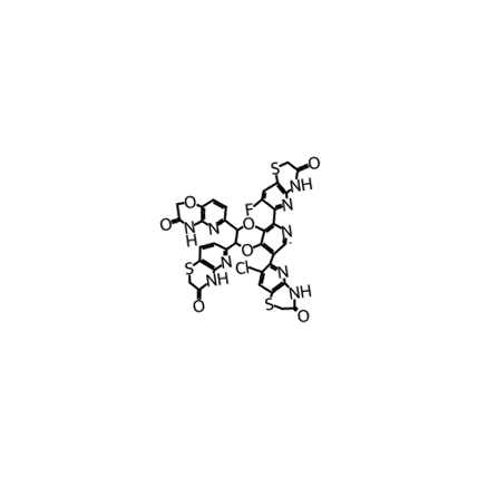 O=C1COc2ccc(C3Oc4c(-c5nc6c(cc5F)SCC(=O)N6)n[c]c(-c5nc6c(cc5Cl)SCC(=O)N6)c4OC3c3ccc4c(n3)NC(=O)CS4)nc2N1